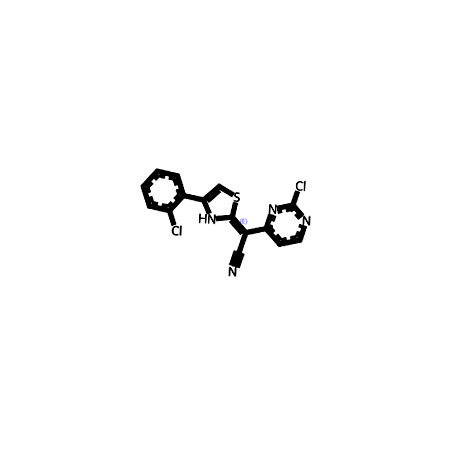 N#C/C(=C1\NC(c2ccccc2Cl)=CS1)c1ccnc(Cl)n1